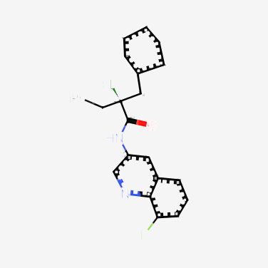 CC(C)C[C@](Cl)(Cc1ccccc1)C(=O)Nc1cnc2c(F)cccc2c1